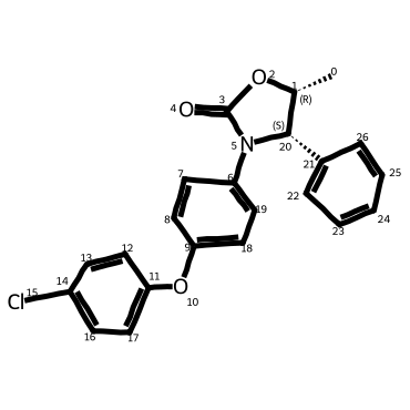 C[C@H]1OC(=O)N(c2ccc(Oc3ccc(Cl)cc3)cc2)[C@H]1c1ccccc1